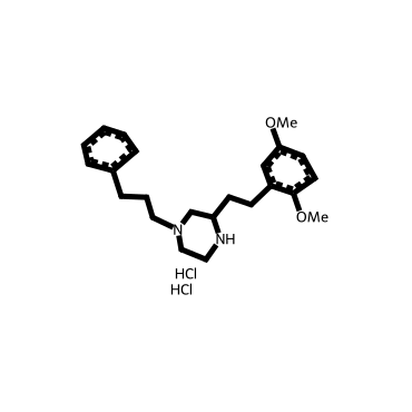 COc1ccc(OC)c(CCC2CN(CCCc3ccccc3)CCN2)c1.Cl.Cl